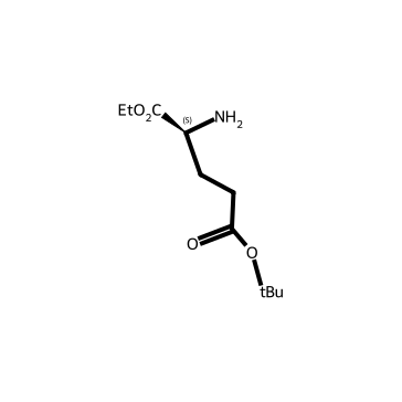 CCOC(=O)[C@@H](N)CCC(=O)OC(C)(C)C